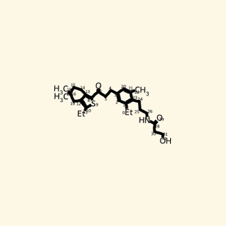 CCc1cc(CCC(=O)c2sc(CC)c3c2CCC(C)(C)C3)cc(C)c1CCCNC(=O)CCO